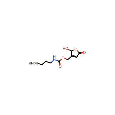 CCCCCCCCCCCCNC(=O)OCC1=CC(=O)OC1O